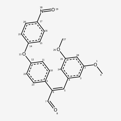 COc1cc(/C=C(/C=O)c2ccc(Oc3ccc(N=O)cc3)cc2)cc(OC)c1